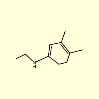 CCNC1=CC(C)=C(C)CC1